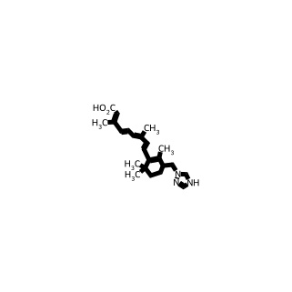 CC(C=CC1=C(C)C(CN2CNC=N2)CCC1(C)C)=CC=CC(C)=CC(=O)O